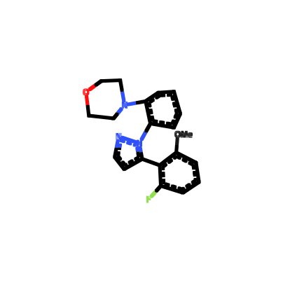 COc1cccc(F)c1-c1ccnn1-c1ccccc1N1CCOCC1